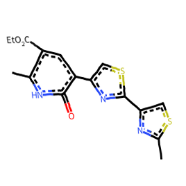 CCOC(=O)c1cc(-c2csc(-c3csc(C)n3)n2)c(=O)[nH]c1C